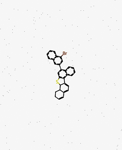 Brc1cc(-c2cc3c(c4ccccc24)C2=CC=C4C=CCCC4C2S3)cc2ccccc12